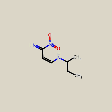 CCC(C)N/C=C\C(=N)[N+](=O)[O-]